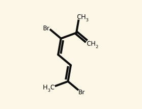 C=C(C)/C(Br)=C\C=C(/C)Br